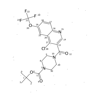 CC(C)(C)OC(=O)N1CCN(C(=O)c2cnc3ccc(OC(F)(F)F)cc3c2Cl)CC1